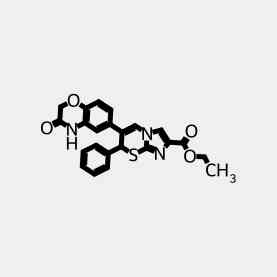 CCOC(=O)c1cn2c(n1)SC(c1ccccc1)C(c1ccc3c(c1)NC(=O)CO3)=C2